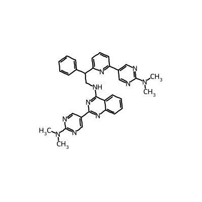 CN(C)c1ncc(-c2cccc(C(CNc3nc(-c4cnc(N(C)C)nc4)nc4ccccc34)c3ccccc3)n2)cn1